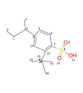 CCC(C)c1ccc(S(=O)(=O)O)c([Si](C)(C)C)c1